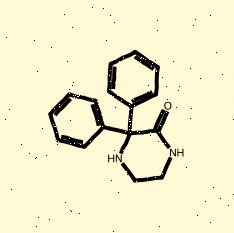 O=C1NCCNC1(c1ccccc1)c1ccccc1